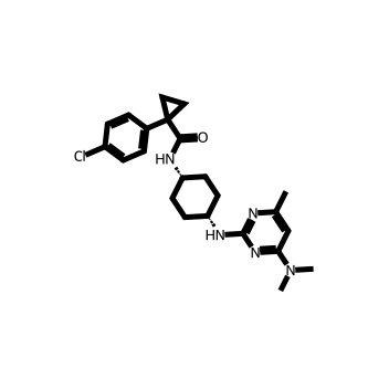 Cc1cc(N(C)C)nc(N[C@H]2CC[C@@H](NC(=O)C3(c4ccc(Cl)cc4)CC3)CC2)n1